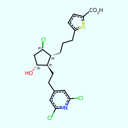 O=C(O)c1ccc(CCC[C@@H]2[C@@H](CCc3cc(Cl)nc(Cl)c3)[C@H](O)C[C@H]2Cl)s1